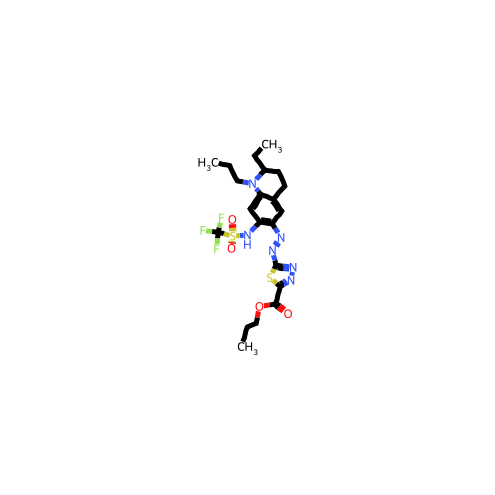 CCCOC(=O)c1nnc(N=Nc2cc3c(cc2NS(=O)(=O)C(F)(F)F)N(CCC)C(CC)CC3)s1